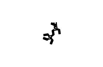 C=C[SiH](C=C)C=C[Si](C=C)(C=C)C=C